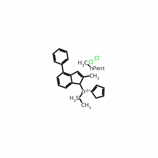 CCCCCC.C[SiH2][Zr+2]([C]1=CC=CC1)[CH]1C(C)=Cc2c(-c3ccccc3)cccc21.[Cl-].[Cl-]